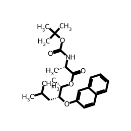 CC(C)C[C@@H](Oc1ccc2ccccc2c1)[C@H](C)OC(=O)[C@H](C)NC(=O)OC(C)(C)C